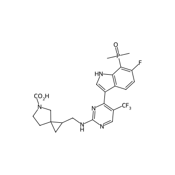 CP(C)(=O)c1c(F)ccc2c(-c3nc(NCC4CC45CCN(C(=O)O)C5)ncc3C(F)(F)F)c[nH]c12